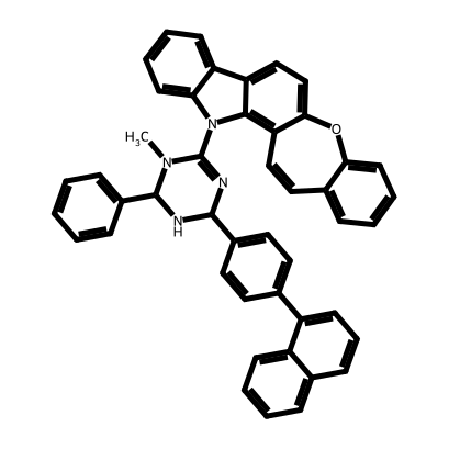 CN1C(n2c3ccccc3c3ccc4c(c32)C=Cc2ccccc2O4)=NC(c2ccc(-c3cccc4ccccc34)cc2)NC1c1ccccc1